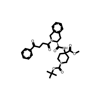 COC(=O)C1(NC(=O)[C@@H]2Cc3ccccc3CN2C(=O)CCC(=O)c2ccccc2)CCN(C(=O)OC(C)(C)C)CC1